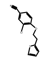 N#Cc1ccc(OCCc2cccs2)c(Cl)c1